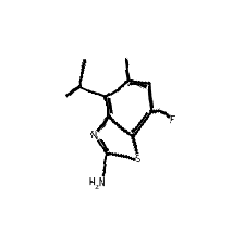 Cc1cc(F)c2sc(N)nc2c1C(C)C